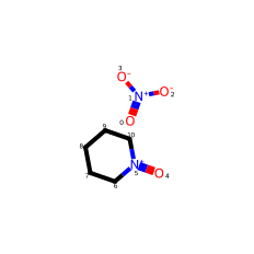 O=[N+]([O-])[O-].O=[N+]1CCCCC1